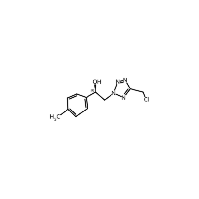 Cc1ccc([C@@H](O)Cn2nnc(CCl)n2)cc1